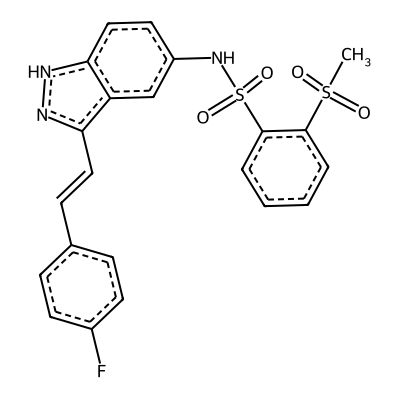 CS(=O)(=O)c1ccccc1S(=O)(=O)Nc1ccc2[nH]nc(C=Cc3ccc(F)cc3)c2c1